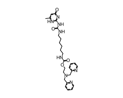 Cc1cc(=O)nc(NC(=O)NCCCCCCNC(=O)OCCN(Cc2ccccn2)Cc2ccccn2)[nH]1